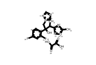 Cc1nc(C(C)C(O)(Cn2cncn2)c2ccc(F)cc2F)no1.O=C(O)C(=O)O